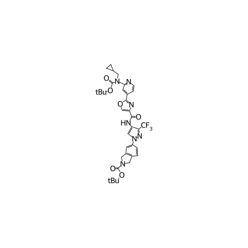 CC(C)(C)OC(=O)N1Cc2ccc(-n3cc(NC(=O)c4coc(-c5ccnc(N(CC6CC6)C(=O)OC(C)(C)C)c5)n4)c(C(F)(F)F)n3)cc2C1